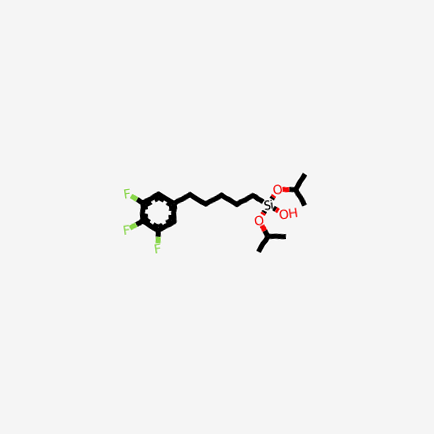 CC(C)O[Si](O)(CCCCCc1cc(F)c(F)c(F)c1)OC(C)C